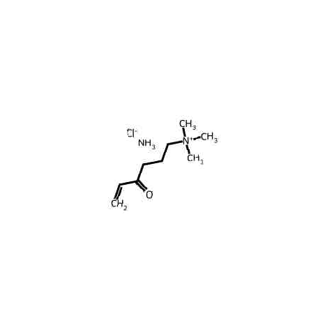 C=CC(=O)CCC[N+](C)(C)C.N.[Cl-]